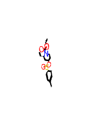 CCOC(=O)N1CC[C@@H](OS(=O)c2ccc(C)cc2)C[C@@H]1CC